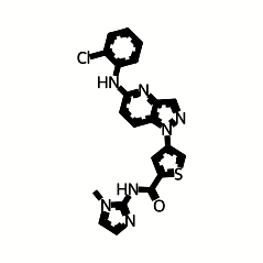 Cn1ccnc1NC(=O)c1cc(-n2ncc3nc(Nc4ccccc4Cl)ccc32)cs1